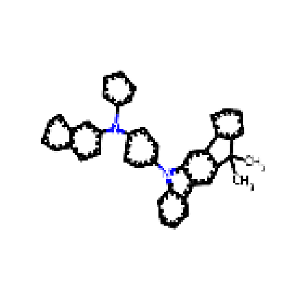 CC1(C)c2ccccc2-c2cc3c(cc21)c1ccccc1n3-c1ccc(N(c2ccccc2)c2ccc3ccccc3c2)cc1